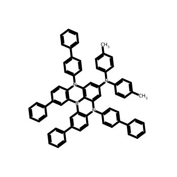 Cc1ccc(N(c2ccc(C)cc2)c2cc3c4c(c2)N(c2ccc(-c5ccccc5)cc2)c2ccc(-c5ccccc5)cc2B4c2cc(-c4ccccc4)ccc2N3c2ccc(-c3ccccc3)cc2)cc1